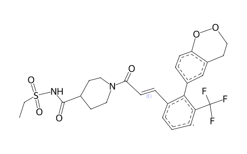 CCS(=O)(=O)NC(=O)C1CCN(C(=O)/C=C/c2cc[c]c(C(F)(F)F)c2-c2ccc3c(c2)CCOO3)CC1